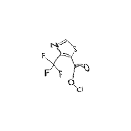 O=C(OCl)c1scnc1C(F)(F)F